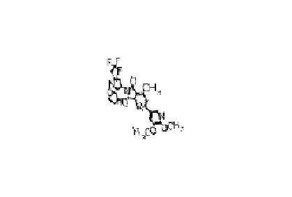 COc1cc(-c2cc(C)c3c(n2)C(O[C@H]2CCOC2)N(c2cnn(CC(F)(F)F)c2)C3=O)cnc1OC